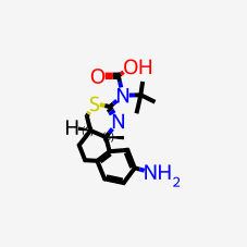 CC(C)(C)N(C(=O)O)C1=N[C@]2(C)c3cc(N)ccc3CC[C@@H]2CS1